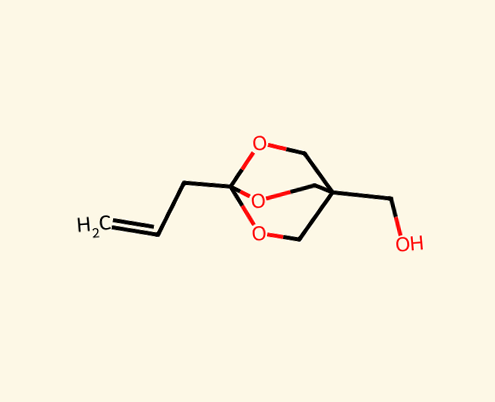 C=CCC12OCC(CO)(CO1)CO2